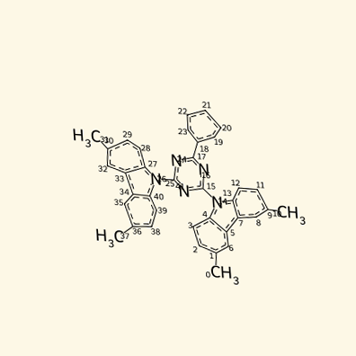 Cc1ccc2c(c1)c1cc(C)ccc1n2-c1nc(-c2ccccc2)nc(-n2c3ccc(C)cc3c3cc(C)ccc32)n1